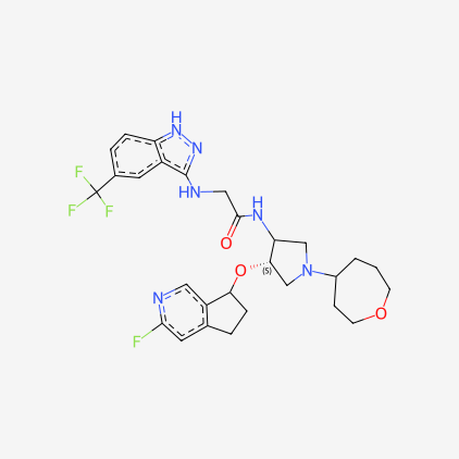 O=C(CNc1n[nH]c2ccc(C(F)(F)F)cc12)NC1CN(C2CCCOCC2)C[C@@H]1OC1CCc2cc(F)ncc21